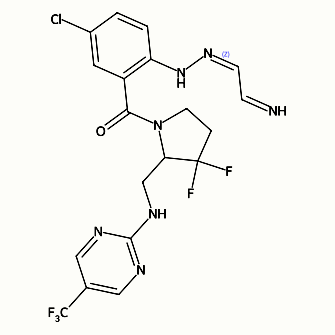 N=C/C=N\Nc1ccc(Cl)cc1C(=O)N1CCC(F)(F)C1CNc1ncc(C(F)(F)F)cn1